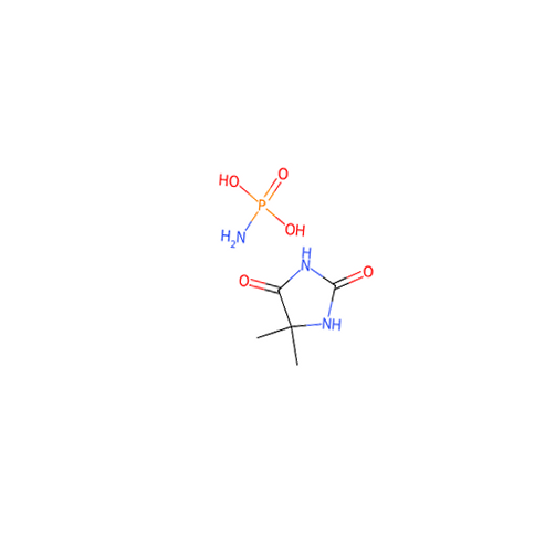 CC1(C)NC(=O)NC1=O.NP(=O)(O)O